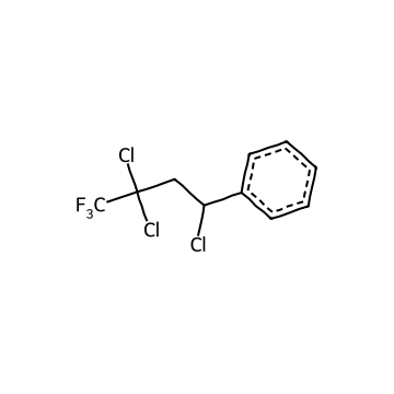 FC(F)(F)C(Cl)(Cl)CC(Cl)c1ccccc1